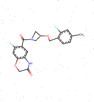 Cc1ccc(COC2CN(C(=O)c3cc4c(cc3F)OCC(=O)N4)C2)c(F)c1